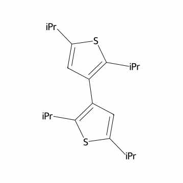 CC(C)c1cc(-c2cc(C(C)C)sc2C(C)C)c(C(C)C)s1